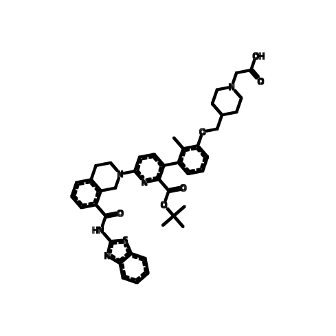 Cc1c(OCC2CCN(CC(=O)O)CC2)cccc1-c1ccc(N2CCc3cccc(C(=O)Nc4nc5ccccc5s4)c3C2)nc1C(=O)OC(C)(C)C